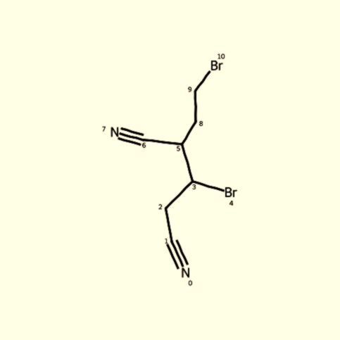 N#CCC(Br)C(C#N)CCBr